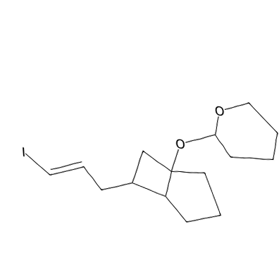 I/C=C/CC1CC2(OC3CCCCO3)CCCC12